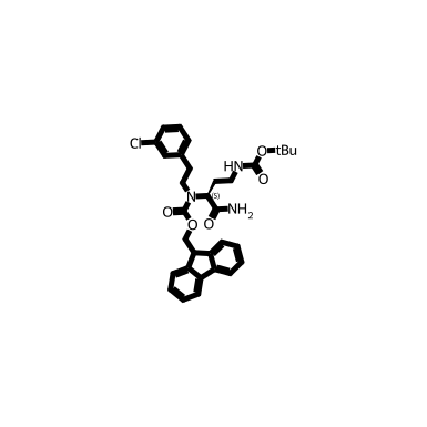 CC(C)(C)OC(=O)NCC[C@@H](C(N)=O)N(CCc1cccc(Cl)c1)C(=O)OCC1c2ccccc2-c2ccccc21